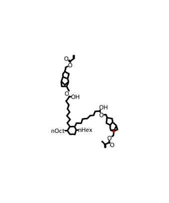 C=CC(=O)OCC1CC2C3CC(COC(O)CCCCCCCC4C(CCCCCCCC)CCC(CCCCCC)C4CCCCCCCC(O)OCC4CC5C6CC(COC(=O)C(=C)C)C(C6)C5C4)C(C3)C2C1